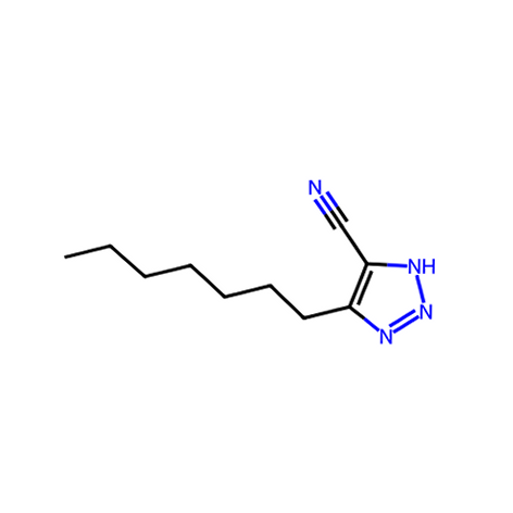 CCCCCCCc1nn[nH]c1C#N